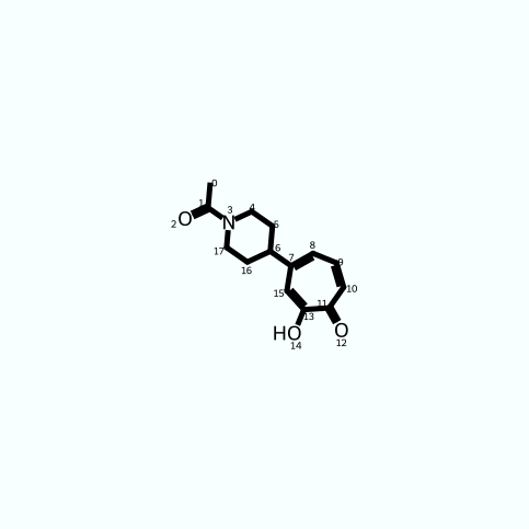 CC(=O)N1CCC(c2cccc(=O)c(O)c2)CC1